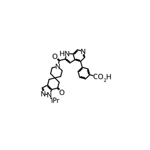 CC(C)n1ncc2c1C(=O)CC1(CCN(C(=O)c3cc4c(-c5cccc(C(=O)O)c5)cncc4[nH]3)CC1)C2